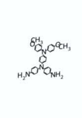 COc1ccc(N(c2ccc(OC)cc2)c2ccc(N(c3ccc(N)cc3)c3ccc(N)cc3)cc2)cc1